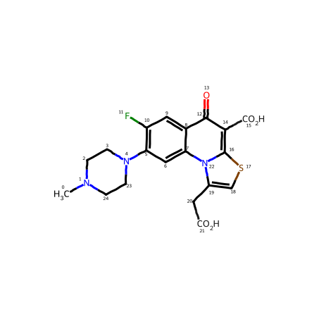 CN1CCN(c2cc3c(cc2F)c(=O)c(C(=O)O)c2scc(CC(=O)O)n23)CC1